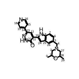 CC1CN(Cc2ccc3[nH]c(-c4cc(-c5ccncc5)n[nH]c4=O)cc3c2)CC(C)O1